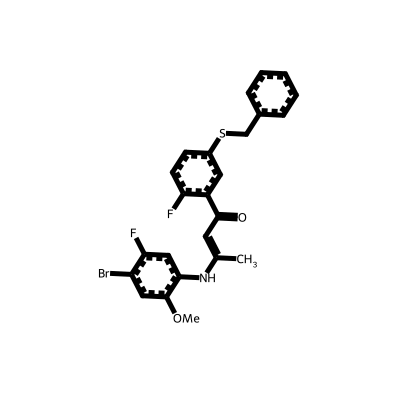 COc1cc(Br)c(F)cc1NC(C)=CC(=O)c1cc(SCc2ccccc2)ccc1F